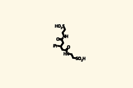 CC(C)C(CC(=O)NCCS(=O)(=O)O)CC(=O)NCCS(=O)(=O)O